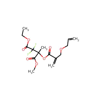 C=CCOCC(=C)C(=O)OC(C)(C(=O)OC)C(F)(F)C(=O)OCC